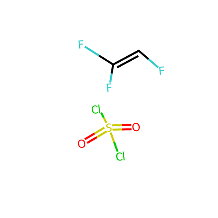 FC=C(F)F.O=S(=O)(Cl)Cl